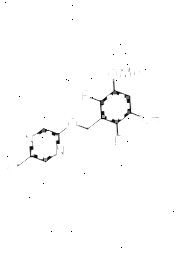 COc1cc(C)c(F)c(COc2cnc(Cl)cn2)c1F